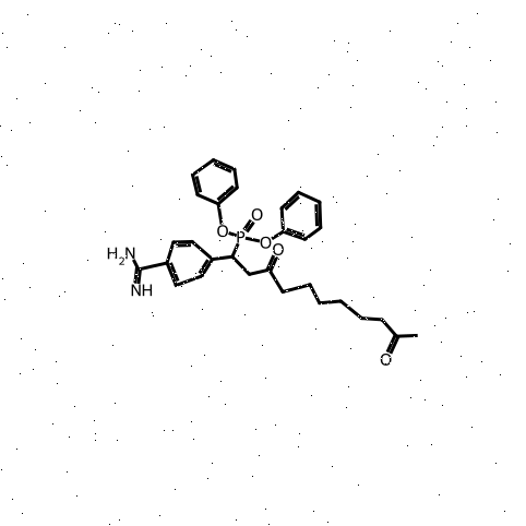 CC(=O)CCCCCCC(=O)CC(c1ccc(C(=N)N)cc1)P(=O)(Oc1ccccc1)Oc1ccccc1